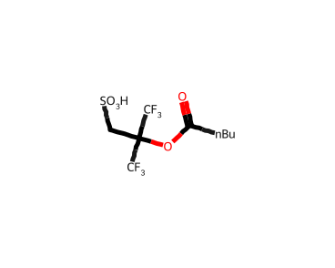 CCCCC(=O)OC(CS(=O)(=O)O)(C(F)(F)F)C(F)(F)F